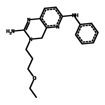 CCOCCCN1Cc2nc(Nc3ccccc3)ccc2N=C1N